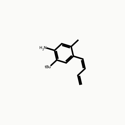 C=C/C=C\c1cc(C(C)(C)C)c(N)cc1C